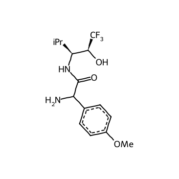 COc1ccc(C(N)C(=O)N[C@@H](C(C)C)[C@H](O)C(F)(F)F)cc1